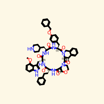 COc1cccc2[nH]cc(C[C@H]3NC(=O)[C@@H](CCc4ccccc4)NC(=O)[C@@H]4COCCN4C(=O)[C@@H]4Cc5ccccc5CN4C(=O)[C@H](Cc4ccc(OCc5ccccc5)cc4)NC(=O)[C@H](CC4CCNCC4)NC3=O)c12